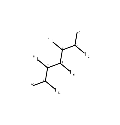 CC(I)C(I)C(I)C(I)C(C)I